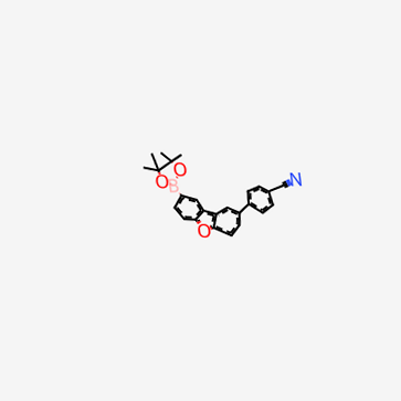 CC1(C)OB(c2ccc3oc4ccc(-c5ccc(C#N)cc5)cc4c3c2)OC1(C)C